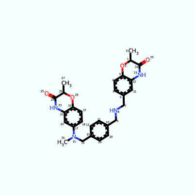 CC1Oc2ccc(CNCc3ccc(CN(C)c4ccc5c(c4)NC(=O)C(C)O5)cc3)cc2NC1=O